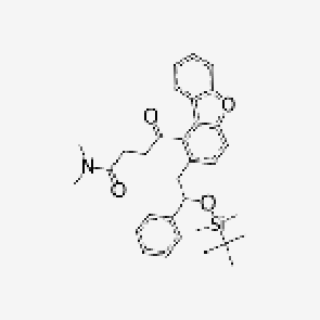 CN(C)C(=O)CCC(=O)c1c(CC(O[Si](C)(C)C(C)(C)C)c2ccccc2)ccc2oc3ccccc3c12